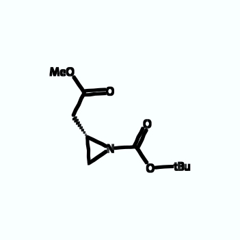 COC(=O)C[C@H]1CN1C(=O)OC(C)(C)C